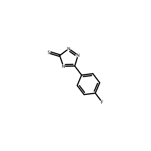 Fc1ccc(C2=NC(=S)N=N2)cc1